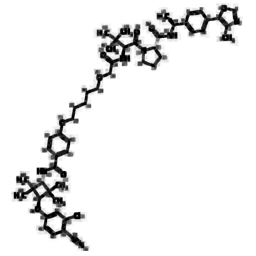 Cc1ncoc1-c1ccc([C@H](C)NC(=O)[C@@H]2CCCN2C(=O)[C@@H](NC(=O)COCCCCCOc2ccc(C(=O)N[C@H]3C(C)(C)[C@H](Oc4ccc(C#N)c(Cl)c4)C3(C)C)cc2)C(C)(C)C)cc1